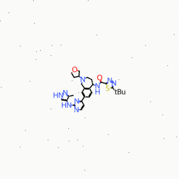 Cc1n[nH]cc1Nc1nccc(-c2ccc3c(c2)CN(C2CCOC2)CCC3NC(=O)c2nnc(C(C)(C)C)s2)n1